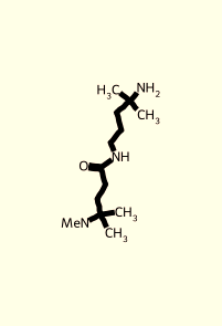 CNC(C)(C)CCC(=O)NCCCC(C)(C)N